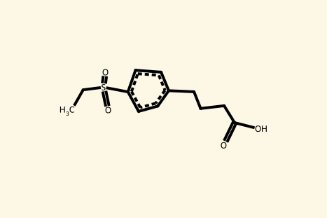 CCS(=O)(=O)c1ccc(CCCC(=O)O)cc1